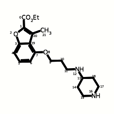 CCOC(=O)c1oc2cccc(OCCCNC3CCNCC3)c2c1C